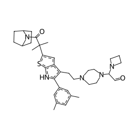 Cc1cc(C)cc(-c2[nH]c3sc(C(C)(C)C(=O)N4C5CCC4CC5)cc3c2CCN2CCN(C(C=O)N3CCC3)CC2)c1